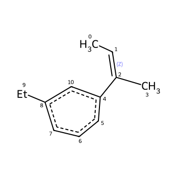 C/C=C(/C)c1cccc(CC)c1